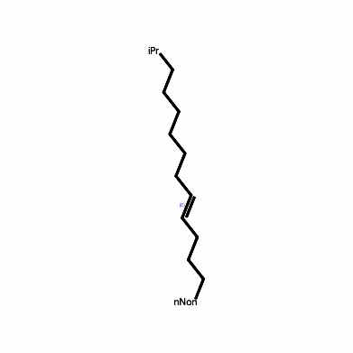 CCCCCCCCCCCC/C=C/CCCCCCC(C)C